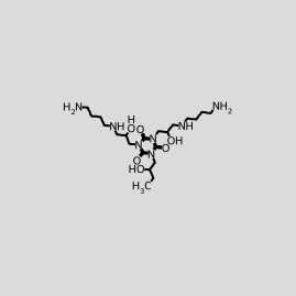 CCC(O)Cn1c(=O)n(CC(O)CNCCCCN)c(=O)n(CC(O)CNCCCCN)c1=O